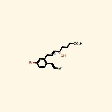 CCC/C=C/c1ccc(Br)cc1C/C=C/[C@@H](O)CCCC(=O)O